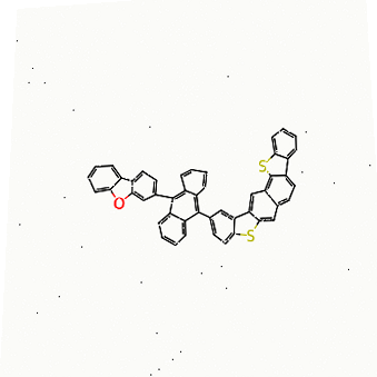 c1ccc2c(c1)oc1cc(-c3c4ccccc4c(-c4ccc5sc6cc7ccc8c9ccccc9sc8c7cc6c5c4)c4ccccc34)ccc12